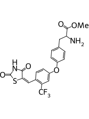 COC(=O)C(N)Cc1ccc(Oc2ccc(C=C3SC(=O)NC3=O)c(C(F)(F)F)c2)cc1